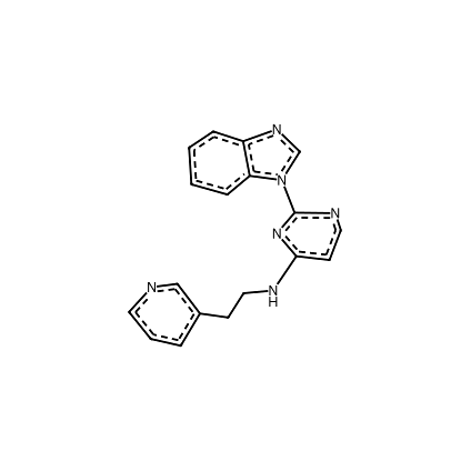 c1cncc(CCNc2ccnc(-n3cnc4ccccc43)n2)c1